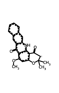 COc1cc2c(c3[nH]c4cc5ccccc5cc4c(=O)c13)C(=O)[C]C(C)(C)O2